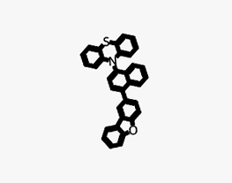 c1ccc2c(c1)Sc1ccccc1N2c1ccc(-c2ccc3oc4ccccc4c3c2)c2ccccc12